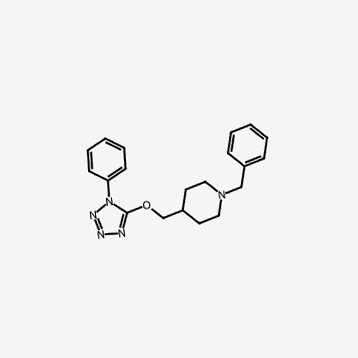 c1ccc(CN2CCC(COc3nnnn3-c3ccccc3)CC2)cc1